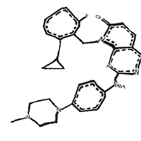 CN1CCN(c2ccc(Nc3ncc4ccc(=O)n(Cc5c(F)cccc5C5CC5)c4n3)cc2)CC1